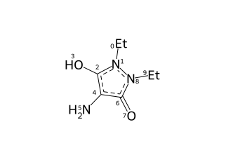 CCn1c(O)c(N)c(=O)n1CC